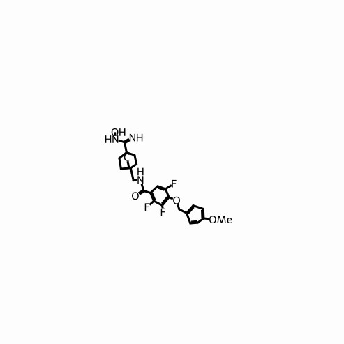 COc1ccc(COc2c(F)cc(C(=O)NCC34CCC(C(=N)NO)(CC3)CC4)c(F)c2F)cc1